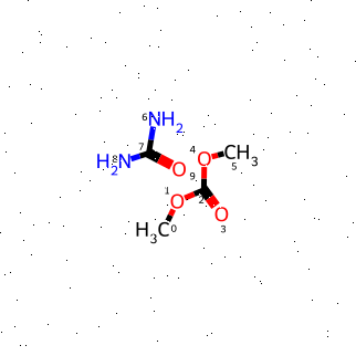 COC(=O)OC.NC(N)=O